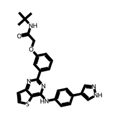 CC(C)(C)NC(=O)COc1cccc(-c2nc(Nc3ccc(-c4cn[nH]c4)cc3)c3sccc3n2)c1